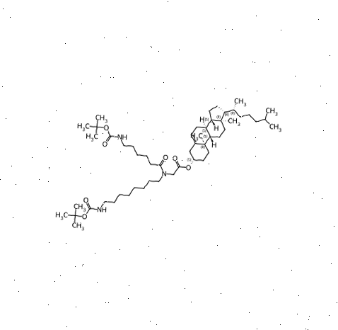 CC(C)CCC[C@@H](C)[C@H]1CC[C@H]2[C@@H]3CC=C4C[C@@H](OC(=O)CN(CCCCCCCCNC(=O)OC(C)(C)C)C(=O)CCCCCNC(=O)OC(C)(C)C)CC[C@]4(C)[C@H]3CC[C@]12C